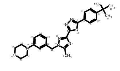 Cc1nc(-c2nnc(-c3ccc(C(C)(C)C)cc3)o2)nn1Cc1cccc(N2CCOCC2)c1